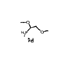 COCC(P)OC.[Pd]